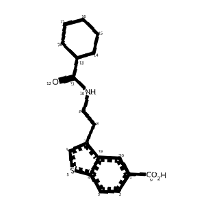 O=C(O)c1ccc2scc(CCNC(=O)C3CCCCC3)c2c1